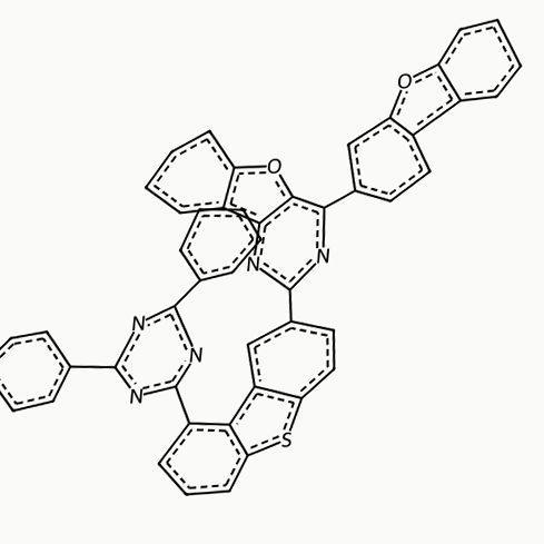 c1ccc(-c2nc(-c3ccccc3)nc(-c3cccc4sc5ccc(-c6nc(-c7ccc8c(c7)oc7ccccc78)c7oc8ccccc8c7n6)cc5c34)n2)cc1